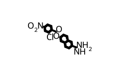 N=C(N)c1ccc2cc(OC(=O)c3ccc([N+](=O)[O-])cc3Cl)ccc2c1